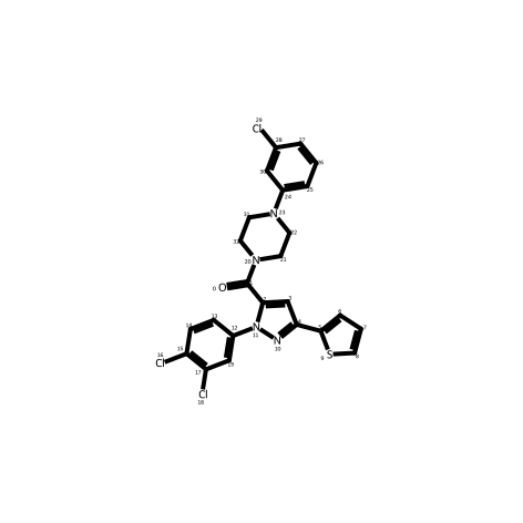 O=C(c1cc(-c2cccs2)nn1-c1ccc(Cl)c(Cl)c1)N1CCN(c2cccc(Cl)c2)CC1